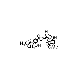 C=C(C)C(=O)Oc1ccc(C(=O)OC/C=C(\C)C(=O)Oc2c(O)cccc2C(=O)OC)cc1O